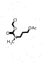 CC(=O)OCCCN(C)C(=O)OCCl